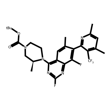 Cc1cc(C)c(C(F)(F)F)c(-c2c(C)cc3c(N4CCN(C(=O)OC(C)(C)C)C[C@@H]4C)nc(F)nc3c2F)n1